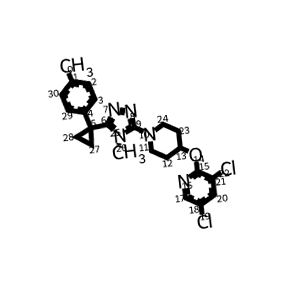 Cc1ccc(C2(c3nnc(N4CCC(Oc5ncc(Cl)cc5Cl)CC4)n3C)CC2)cc1